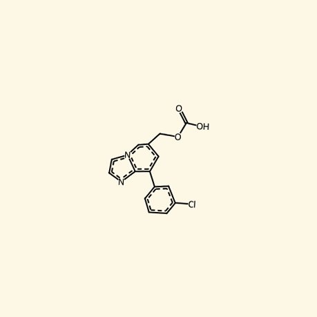 O=C(O)OCc1cc(-c2cccc(Cl)c2)c2nccn2c1